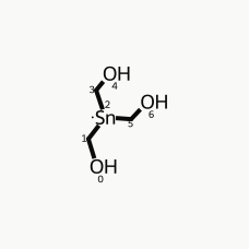 O[CH2][Sn]([CH2]O)[CH2]O